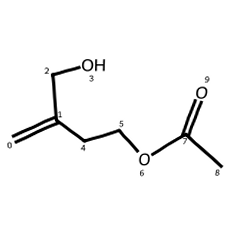 C=C(CO)CCOC(C)=O